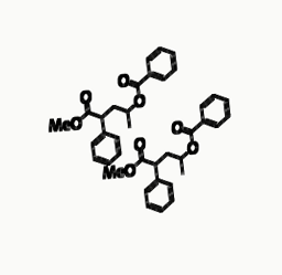 COC(=O)C(CC(C)OC(=O)c1ccccc1)c1ccccc1.COC(=O)C(CC(C)OC(=O)c1ccccc1)c1ccccc1